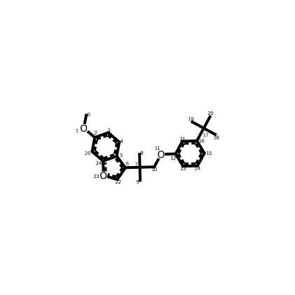 COc1ccc2c(C(C)(C)COc3cccc(C(C)(C)C)c3)coc2c1